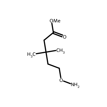 COC(=O)CC(C)(C)CCON